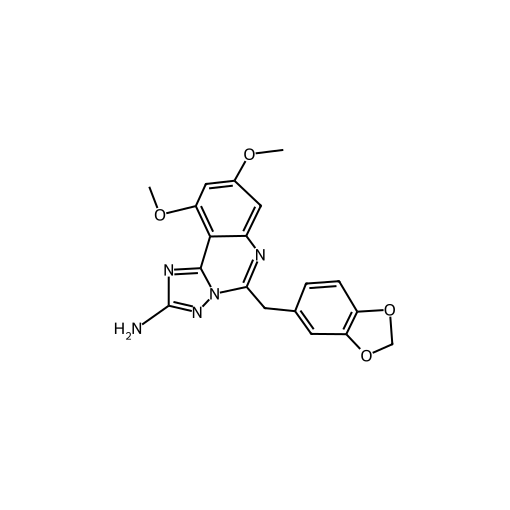 COc1cc(OC)c2c(c1)nc(Cc1ccc3c(c1)OCO3)n1nc(N)nc21